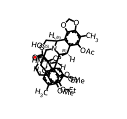 CCOc1cc2c(cc1OC)[C@@]1(CS[C@@H]3c4c(OC(C)=O)c(C)c5c(c4[C@H](COC1=O)N1C3[C@@H]3c4c(cc(C)c(OC)c4OCC)C[C@H]([C@@H]1O)N3C)OCO5)NCC2